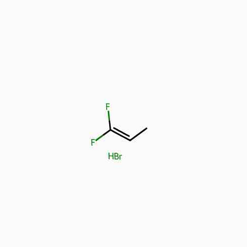 Br.CC=C(F)F